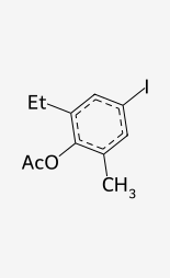 CCc1cc(I)cc(C)c1OC(C)=O